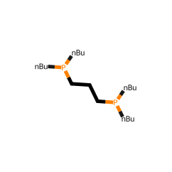 CCCCP(CCCC)CCCP(CCCC)CCCC